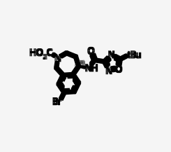 CC(C)(C)c1nc(C(=O)N[C@@H]2CCN(C(=O)O)Cc3cc(Br)ccc32)no1